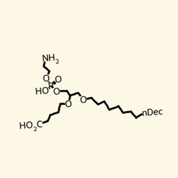 CCCCCCCCCCCCCCCCCCOCC(COP(=O)(O)OCCN)OCCCCC(=O)O